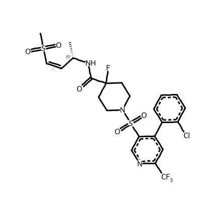 C[C@@H](/C=C\S(C)(=O)=O)NC(=O)C1(F)CCN(S(=O)(=O)c2cnc(C(F)(F)F)cc2-c2ccccc2Cl)CC1